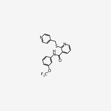 O=C(Nc1cccc(OC(F)(F)F)c1)c1cccnc1SCc1ccncc1